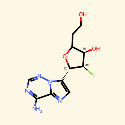 Nc1ncnn2c([C@@H]3OC(CCO)[C@@H](O)[C@H]3F)cnc12